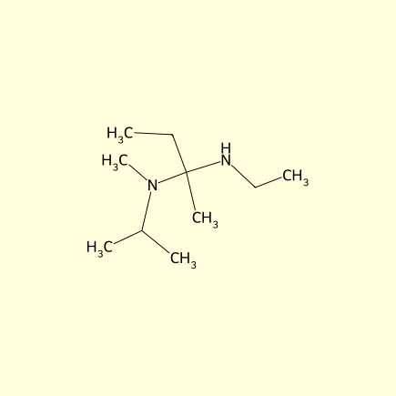 CCNC(C)(CC)N(C)C(C)C